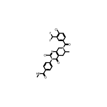 CNC(=O)c1ccc(-n2c(Cl)nc3c(c2=O)CC(C)N(C(=O)c2ccc(Cl)c(C(F)F)c2)C3)cc1